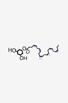 CC/C=C\C/C=C\C/C=C\C/C=C\C/C=C\C/C=C\CCC(=O)Oc1cc(O)cc(O)c1